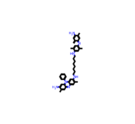 C=C1C=C(N)C(C)=C/C1=N/c1cc(C)c(NCCCCCCCCNc2cc3c(cc2C)nc2cc(C)c(N)cc2[n+]3-c2ccccc2)cc1C